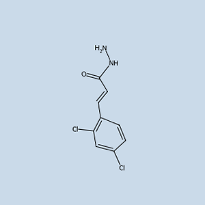 NNC(=O)C=Cc1ccc(Cl)cc1Cl